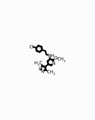 COc1ncc(-c2c(C)noc2C)cc1NCCc1ccc(Cl)cc1